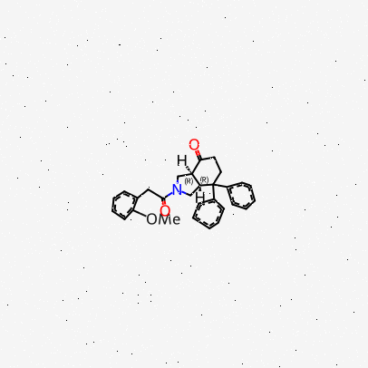 COc1ccccc1CC(=O)N1C[C@@H]2C(=O)CCC(c3ccccc3)(c3ccccc3)[C@@H]2C1